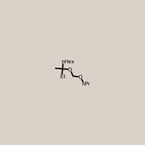 CCCCCCC(C)(CC)OCOCCC